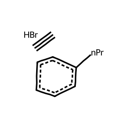 Br.C#C.CCCc1ccccc1